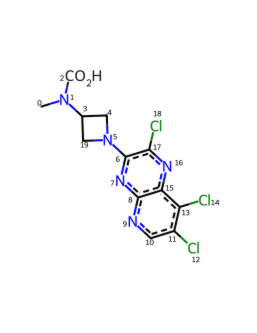 CN(C(=O)O)C1CN(c2nc3ncc(Cl)c(Cl)c3nc2Cl)C1